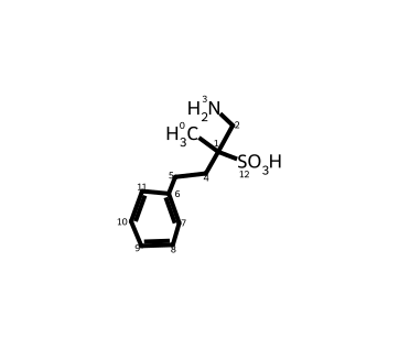 CC(CN)(CCc1ccccc1)S(=O)(=O)O